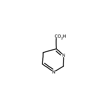 O=C(O)C1=NCN=CC1